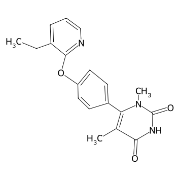 CCc1cccnc1Oc1ccc(-c2c(C)c(=O)[nH]c(=O)n2C)cc1